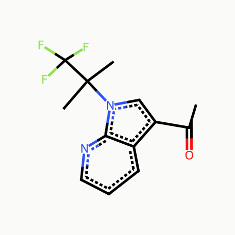 CC(=O)c1cn(C(C)(C)C(F)(F)F)c2ncccc12